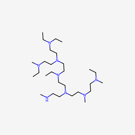 CCN(C)CCN(C)CCN(CCNC)CCN(CC)CCN(CCN(C)CC)CCN(CC)CC